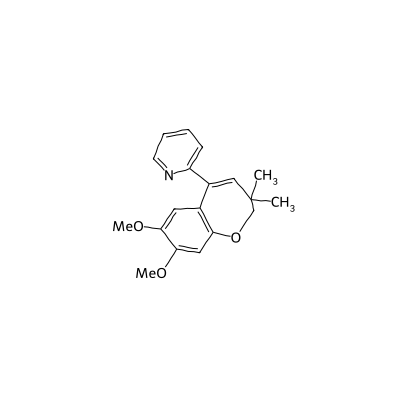 COc1cc2c(cc1OC)C(c1ccccn1)=CC(C)(C)CO2